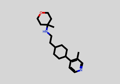 Cc1cnccc1C1CCC(CCNC2(C)CCOCC2)CC1